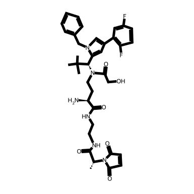 C[C@H](C(=O)NCCNC(=O)[C@@H](N)CCN(C(=O)CO)[C@@H](c1cc(-c2cc(F)ccc2F)cn1Cc1ccccc1)C(C)(C)C)N1C(=O)C=CC1=O